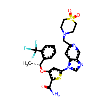 C[C@@H](Oc1cc(-n2cnc3cnc(CN4CCS(=O)(=O)CC4)cc32)sc1C(N)=O)c1ccccc1C(F)(F)F